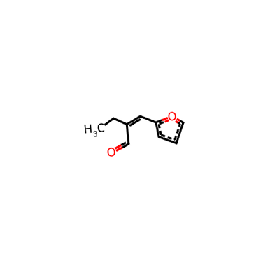 CC/C(C=O)=C/c1ccco1